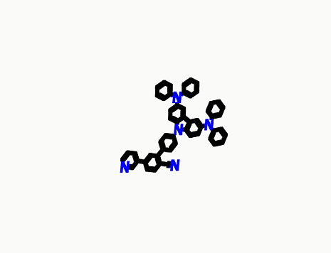 N#Cc1ccc(-c2cccnc2)cc1-c1ccc(-n2c3ccc(N(c4ccccc4)c4ccccc4)cc3c3cc(N(c4ccccc4)c4ccccc4)ccc32)cc1